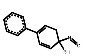 O=NC1(S)C=CC(c2ccccc2)=CC1